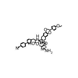 CCOc1ccc(C2COc3cc4c(cc3O2)CN(S(=O)(=O)c2sc(N)nc2C)C(C(=O)NC(Cc2ccc(-c3ccc(C#N)cc3)cc2)C(=O)O)C4)cc1